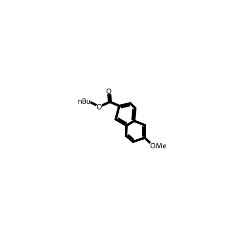 CCCCOC(=O)c1ccc2cc(OC)ccc2c1